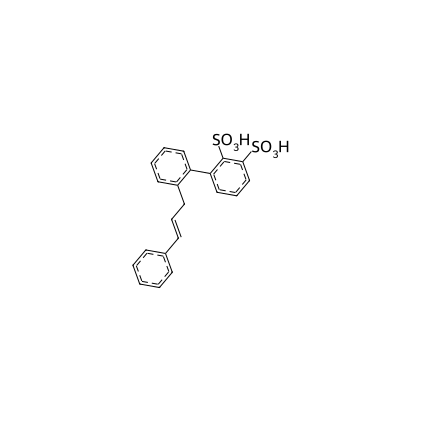 O=S(=O)(O)c1cccc(-c2ccccc2CC=Cc2ccccc2)c1S(=O)(=O)O